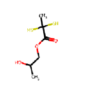 CC(O)COC(=O)C(C)(S)S